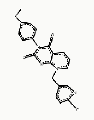 CSc1ccc(-n2c(=O)nc3n(Cc4ccc(Cl)nc4)cccc-3c2=O)cc1